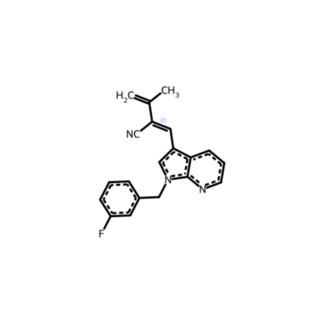 C=C(C)/C(C#N)=C/c1cn(Cc2cccc(F)c2)c2ncccc12